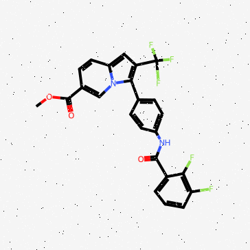 COC(=O)c1ccc2cc(C(F)(F)F)c(-c3ccc(NC(=O)c4cccc(F)c4F)cc3)n2c1